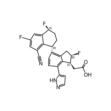 N#Cc1cc(F)cc2c1[C@@H](c1ccc(-c3ccn[nH]3)c3c1C[C@@H](F)[C@H]3CC(=O)O)CC[C@@H]2F